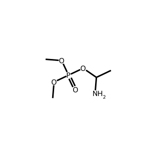 COP(=O)(OC)OC(C)N